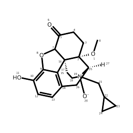 CO[C@@]12CCC(=O)C3Oc4c(O)ccc5c4[C@@]31CC[N+]([O-])(CC1CC1)[C@@H]2C5